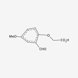 COc1ccc(OCC(=O)O)c(C=O)c1